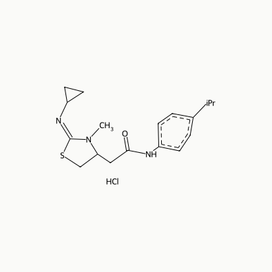 CC(C)c1ccc(NC(=O)CC2CSC(=NC3CC3)N2C)cc1.Cl